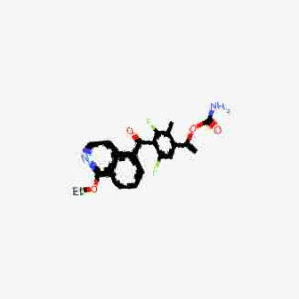 CCOc1nccc2c(C(=O)c3c(F)cc(C(C)OC(N)=O)c(C)c3F)cccc12